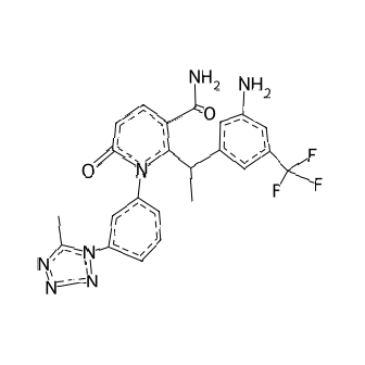 Cc1nnnn1-c1cccc(-n2c(C(C)c3cc(N)cc(C(F)(F)F)c3)c(C(N)=O)ccc2=O)c1